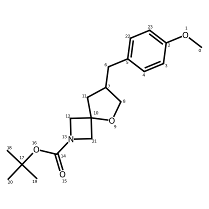 COc1ccc(CC2COC3(C2)CN(C(=O)OC(C)(C)C)C3)cc1